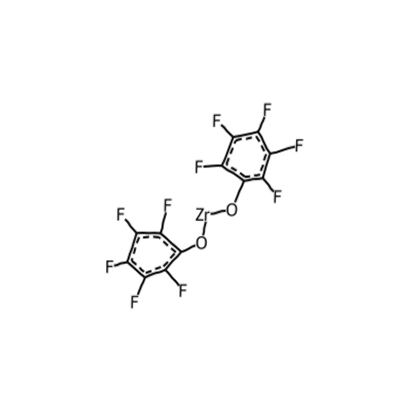 Fc1c(F)c(F)c([O][Zr][O]c2c(F)c(F)c(F)c(F)c2F)c(F)c1F